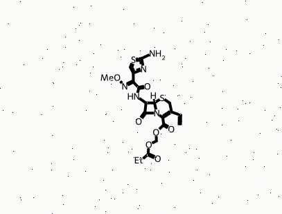 C=CC1=C(C(=O)OCOC(=O)CC)N2C(=O)C(NC(=O)C(=NOC)c3csc(N)n3)[C@@H]2SC1